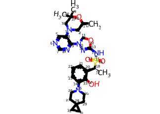 CC1CN(c2cncnc2N2COC(NS(=O)(=O)[C@H](C)c3cccc(N4CCC5(CC4)CC5)c3O)=N2)CC(C)(C)O1